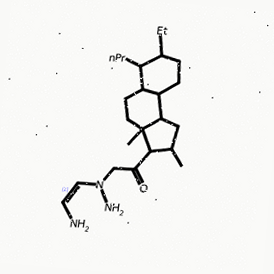 CCCC1C(CC)CCC2C1CCC1(C)C2CC(C)C1C(=O)CN(N)/C=C\N